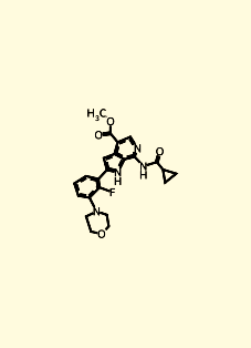 COC(=O)c1cnc(NC(=O)C2CC2)c2[nH]c(-c3cccc(N4CCOCC4)c3F)cc12